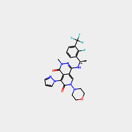 C[C@@H](Nc1nn(C)c(=O)c2c(-n3cccn3)c(=O)n(N3CCOCC3)cc12)c1cccc(C(F)(F)F)c1F